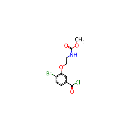 COC(=O)NCCOc1cc(C(=O)Cl)ccc1Br